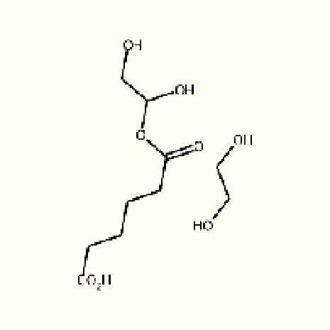 O=C(O)CCCCC(=O)OC(O)CO.OCCO